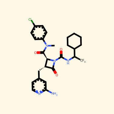 CN(C(=O)[C@@H]1[C@@H](Cc2ccnc(N)c2)C(=O)N1C(=O)NC(C1CCCCC1)C(F)(F)F)c1ccc(Cl)cc1